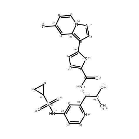 C[C@@H](O)[C@@H](NC(=O)c1ncc(-c2cnn3ccc(Cl)cc23)s1)c1cc(NS(=O)(=O)C2CC2)ccn1